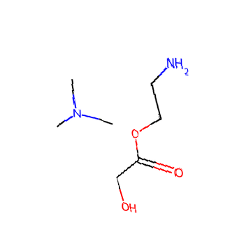 CN(C)C.NCCOC(=O)CO